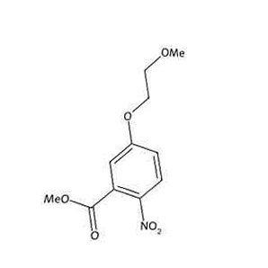 COCCOc1ccc([N+](=O)[O-])c(C(=O)OC)c1